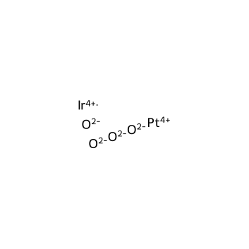 [Ir+4].[O-2].[O-2].[O-2].[O-2].[Pt+4]